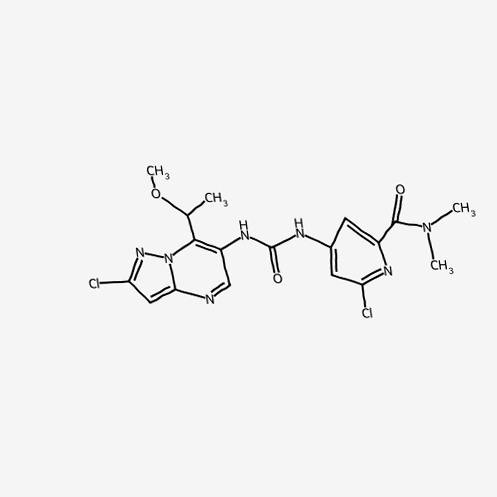 COC(C)c1c(NC(=O)Nc2cc(Cl)nc(C(=O)N(C)C)c2)cnc2cc(Cl)nn12